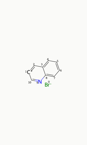 [Br-].[C+]1=Cc2ccccc2N=C1